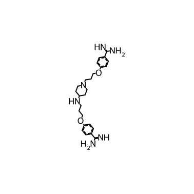 N=C(N)c1ccc(OCCCNC2CCN(CCCOc3ccc(C(=N)N)cc3)CC2)cc1